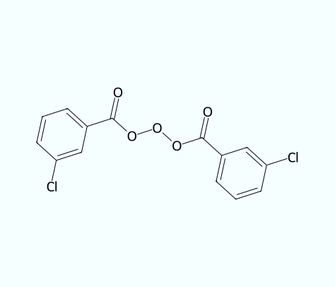 O=C(OOOC(=O)c1cccc(Cl)c1)c1cccc(Cl)c1